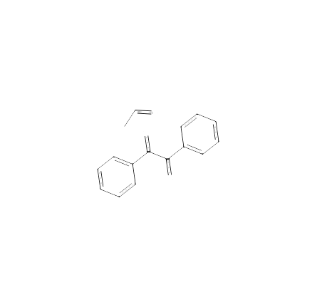 CC=O.O=C(C(=O)c1ccccc1)c1ccccc1